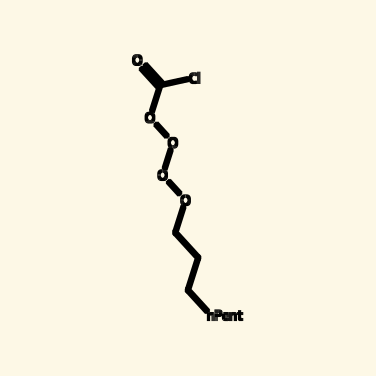 CCCCCCCCOOOOC(=O)Cl